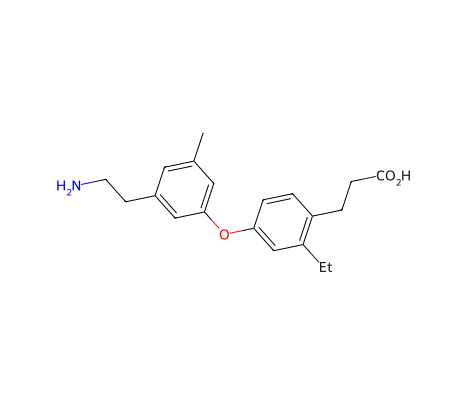 CCc1cc(Oc2cc(C)cc(CCN)c2)ccc1CCC(=O)O